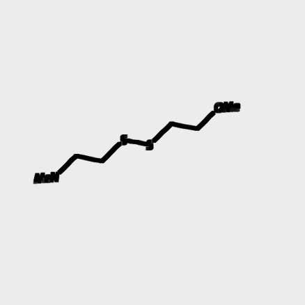 CNCCSSCCOC